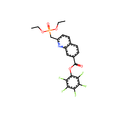 CCOP(=O)(Cc1ccc2ccc(C(=O)Oc3c(F)c(F)c(F)c(F)c3F)cc2n1)OCC